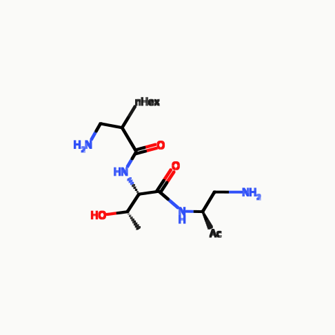 CCCCCCC(CN)C(=O)N[C@H](C(=O)N[C@@H](CN)C(C)=O)[C@H](C)O